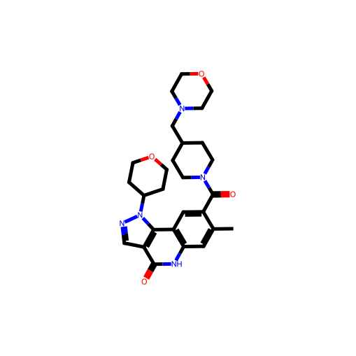 Cc1cc2[nH]c(=O)c3cnn(C4CCOCC4)c3c2cc1C(=O)N1CCC(CN2CCOCC2)CC1